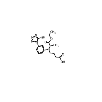 CCOC(=O)C(C)N(CCCC(=O)O)c1cccc(-n2nnnc2S)c1